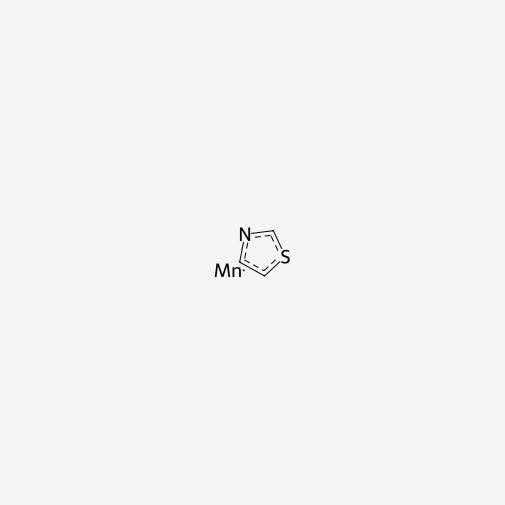 [Mn].c1cscn1